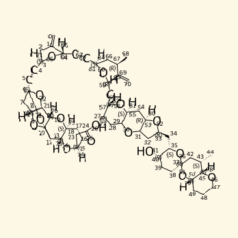 C=C1C[C@@H]2CC[C@@]34C[C@H]5OC6C(O3)[C@H]3O[C@H](CC[C@@H]3O[C@H]6C5O4)CC(=O)O[C@@H]3CC4OC5C[C@H](C[C@@H]6O[C@@]7(CC[C@@H]6O)C[C@H](C)[C@@H]6OCCC[C@@H]6O7)O[C@@H]5C[C@@H]4O[C@H]3C[C@H]3O[C@@H](CC[C@@H]1O2)C[C@@H](C)C3=C